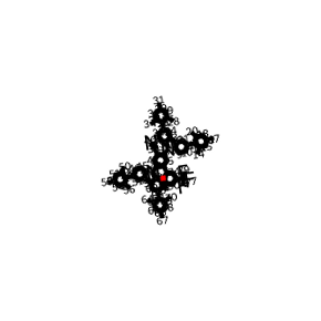 Cc1cc(-c2cc(-n3c4ccc(-c5c(C)cc(C)cc5C)cc4c4cc(-c5c(C)cc(C)cc5C)ccc43)c(C#N)cc2-n2c3ccc(-c4c(C)cc(C)cc4C)cc3c3cc(-c4c(C)cc(C)cc4C)ccc32)cc(C(F)(F)F)c1